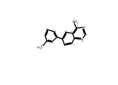 Cc1cccc(-c2ccc3ncnc(N)c3c2)c1